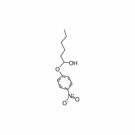 CCCCCC(O)Oc1ccc([N+](=O)[O-])cc1